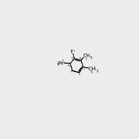 CC1=CCC(C(C)C)C(F)=C1C